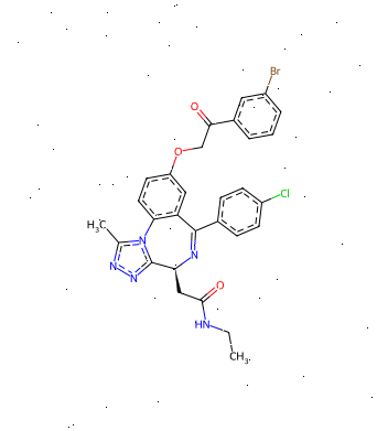 CCNC(=O)C[C@@H]1N=C(c2ccc(Cl)cc2)c2cc(OCC(=O)c3cccc(Br)c3)ccc2-n2c(C)nnc21